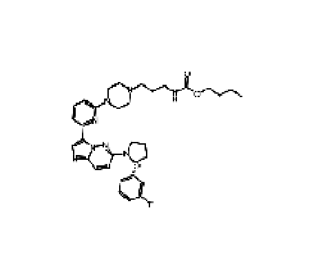 CCCCOC(=O)NCCCN1CCN(c2cccc(-c3cnc4ccc(N5CCC[C@@H]5c5cccc(F)c5)nn34)n2)CC1